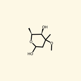 COC1(C)CC(O)O[C@@H](C)[C@H]1O